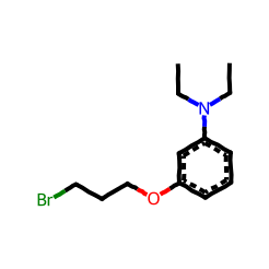 CCN(CC)c1cccc(OCCCBr)c1